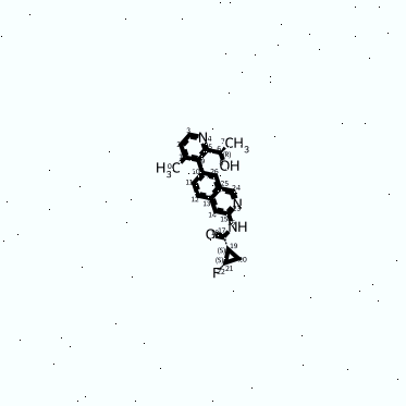 Cc1ccnc([C@@H](C)O)c1-c1ccc2cc(NC(=O)[C@@H]3C[C@@H]3F)ncc2c1